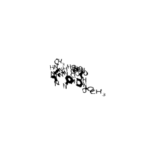 CCNc1nc(Nc2cc(C#N)cc(N3CC[C@@H](NC(=O)OC)[C@H](CC(OP(=O)(O)O)C(=O)O)C3)c2Cl)nn2c(C#N)cnc12